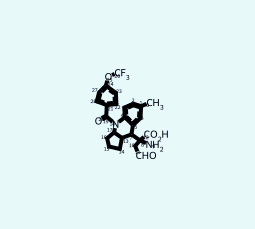 Cc1ccc2c(c1)C(C(N)(CC=O)C(=O)O)C1CCCC1N2C(=O)c1ccc(OC(F)(F)F)cc1